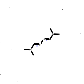 CN(C)/C=N/N=C/N(C)C